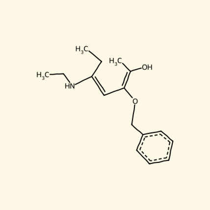 CCN/C(=C/C(OCc1ccccc1)=C(\C)O)CC